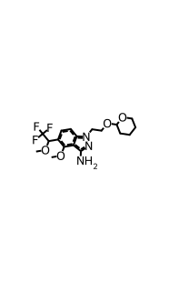 COc1c(C(OC)C(F)(F)F)ccc2c1c(N)nn2CCOC1CCCCO1